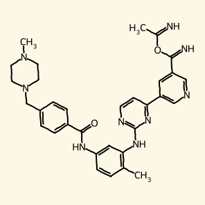 CC(=N)OC(=N)c1cncc(-c2ccnc(Nc3cc(NC(=O)c4ccc(CN5CCN(C)CC5)cc4)ccc3C)n2)c1